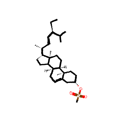 CC[C@H](/C=C/[C@@H](C)[C@H]1CCC2[C@@H]3CC=C4C[C@@H](OS(C)(=O)=O)CC[C@]4(C)[C@@H]3CC[C@@]21C)C(C)C